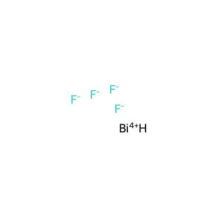 [BiH+4].[F-].[F-].[F-].[F-]